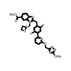 COC(=O)c1ccc2nc(Cc3cc(F)c(-c4cccc(OCc5nnc(OC)s5)n4)cc3F)n(C[C@@H]3CCO3)c2c1